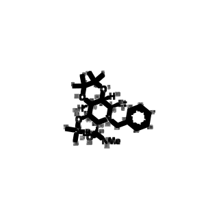 CC[C@@H]1[C@H]2OC(C)(C)C(C)(C)O[C@@H]2[C@H](O[Si](C)(C)C(C)(C)C)[C@@H](C(=O)NC)N1Cc1ccccc1